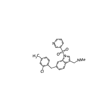 CNCc1cn(S(=O)(=O)c2cccnc2)c2cc(Cc3ccc(C)cc3Cl)ccc12